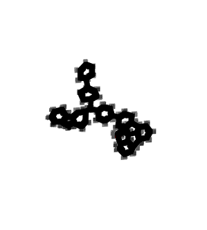 c1ccc(-c2ccc(N(c3ccc(-c4ccc5c(c4)C46c7ccccc7-c7cccc(c74)-c4cccc-5c46)cc3)c3ccc4sc5ccccc5c4c3)cc2)cc1